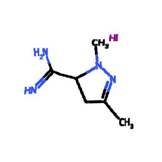 CC1=NN(C)C(C(=N)N)C1.I